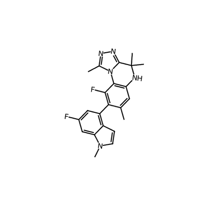 Cc1cc2c(c(F)c1-c1cc(F)cc3c1ccn3C)-n1c(C)nnc1C(C)(C)N2